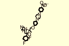 O=[N+]([O-])c1ccc(N2CCN(c3ccc(OCC4COC(Cn5cncn5)(c5ccc(F)cc5F)O4)cc3)CC2)cc1